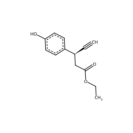 C#C[C@@H](CC(=O)OCC)c1ccc(O)cc1